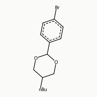 CCCCC1COC(c2ccc(Br)cc2)OC1